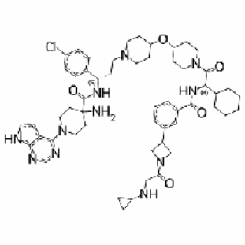 NC1(C(=O)N[C@@H](CCN2CCC(OC3CCN(C(=O)[C@H](NC(=O)c4cccc(C5CN(C(=O)CNC6CC6)C5)c4)C4CCCCC4)CC3)CC2)c2ccc(Cl)cc2)CCN(c2ncnc3[nH]ccc23)CC1